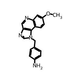 COc1ccc2c(c1)ncc1ncn(Cc3ccc(N)cc3)c12